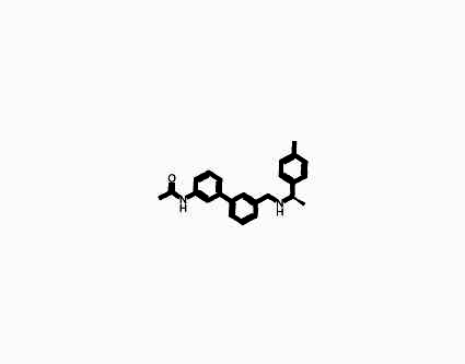 CC(=O)Nc1cccc(-c2cccc(CN[C@H](C)c3ccc(C)cc3)c2)c1